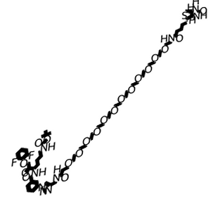 CC(C)(C)OC(=O)NCCCCC(NC(=O)c1cccc(-n2cc(CNC(=O)CCOCCOCCOCCOCCOCCOCCOCCOCCOCCOCCOCCOCCNC(=O)CCCC[C@@H]3SC[C@@H]4NC(=O)N[C@@H]43)nn2)c1)C(=O)COc1c(F)cccc1F